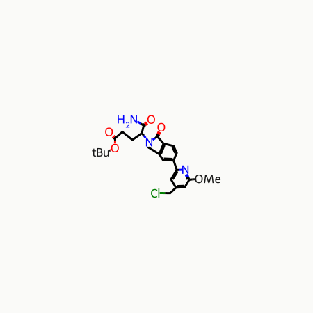 COc1cc(CCl)cc(-c2ccc3c(c2)CN(C(CCC(=O)OC(C)(C)C)C(N)=O)C3=O)n1